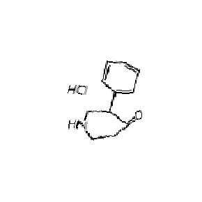 Cl.O=C1CCNCC1c1ccccc1